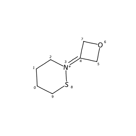 C1CC[N+](=C2COC2)SC1